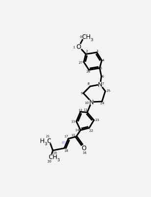 COc1ccc(CN2CCN(c3ccc(C(=O)/C=C/C(C)C)cc3)CC2)cc1